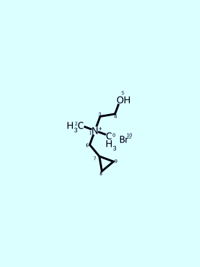 C[N+](C)(CCO)CC1CC1.[Br-]